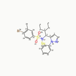 CCC(CC)C(c1ccnn1-c1ccccc1)N(S)S(=O)(=O)c1ccc(Br)c(C)c1